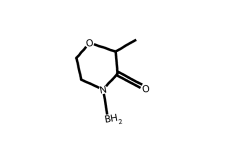 BN1CCOC(C)C1=O